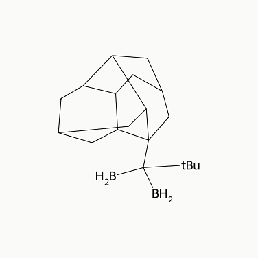 BC(B)(C(C)(C)C)C12CC3CC4C5CC(CC41)CC2C5C3